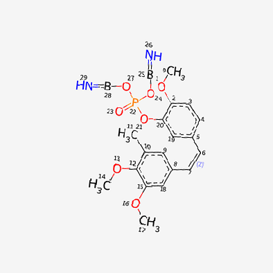 COc1ccc(/C=C\c2cc(C)c(OC)c(OC)c2)cc1OP(=O)(OB=N)OB=N